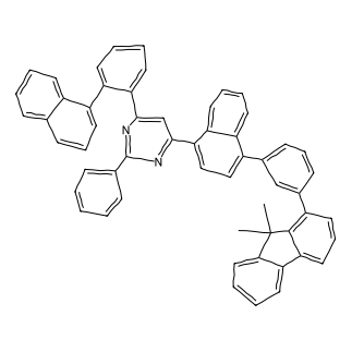 CC1(C)c2ccccc2-c2cccc(-c3cccc(-c4ccc(-c5cc(-c6ccccc6-c6cccc7ccccc67)nc(-c6ccccc6)n5)c5ccccc45)c3)c21